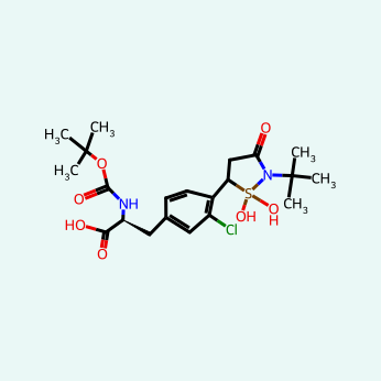 CC(C)(C)OC(=O)N[C@@H](Cc1ccc(C2CC(=O)N(C(C)(C)C)S2(O)O)c(Cl)c1)C(=O)O